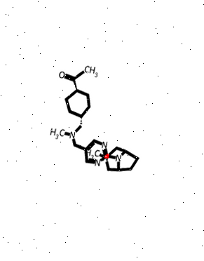 CC(=O)[C@H]1CC[C@H](CN(C)Cc2cnc(N3C4CCC3CN(C)C4)nc2)CC1